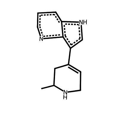 CC1CC(c2c[nH]c3cccnc23)=CCN1